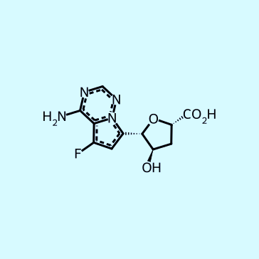 Nc1ncnn2c([C@@H]3O[C@H](C(=O)O)C[C@H]3O)cc(F)c12